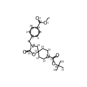 COC(=O)c1ccc(CN2CC3(CCN(C(=O)OC(C)(C)C)CC3)OC2=O)cc1